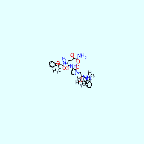 Cc1c(C(=O)N[C@@H](CCC(=O)C(N)=O)C(=O)Nc2cccn(CC(=O)NC3CC4CC[C@]3(C)C4(C)C)c2=O)oc2ccccc12